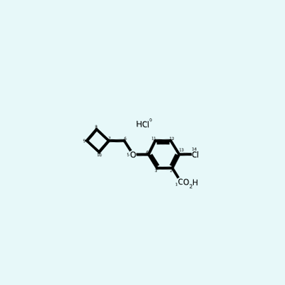 Cl.O=C(O)c1cc(OCC2CCC2)ccc1Cl